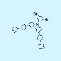 Brc1cc(Br)cc(-n2c3ccc(-c4ccc(-c5cccnc5)cc4)cc3c3cc(-c4ccc(-c5cccnc5)cc4)ccc32)c1